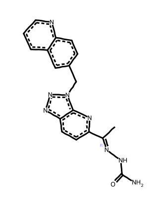 C/C(=N\NC(N)=O)c1ccc2nnn(Cc3ccc4ncccc4c3)c2n1